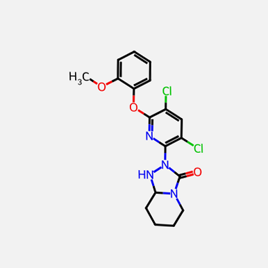 COc1ccccc1Oc1nc(N2NC3CCCCN3C2=O)c(Cl)cc1Cl